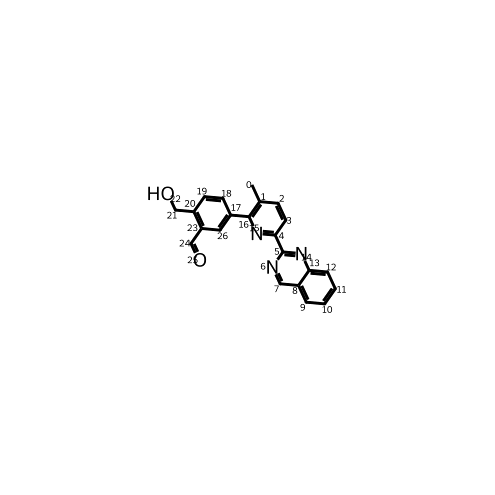 Cc1ccc(-c2ncc3ccccc3n2)nc1-c1ccc(CO)c(C=O)c1